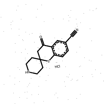 Cl.N#Cc1ccc2c(c1)C(=O)CC1(CCNCC1)S2